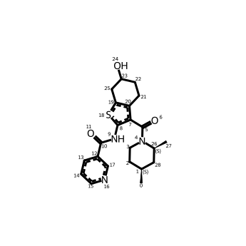 C[C@H]1CCN(C(=O)c2c(NC(=O)c3cccnc3)sc3c2CCC(O)C3)[C@@H](C)C1